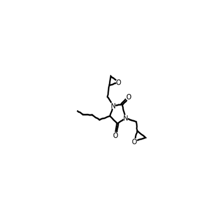 CCCCC1C(=O)N(CC2CO2)C(=O)N1CC1CO1